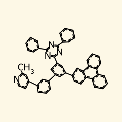 Cc1cc(-c2cccc(-c3cc(-c4ccc5c6ccccc6c6ccccc6c5c4)cc(-c4nc(-c5ccccc5)nc(-c5ccccc5)n4)c3)c2)ccn1